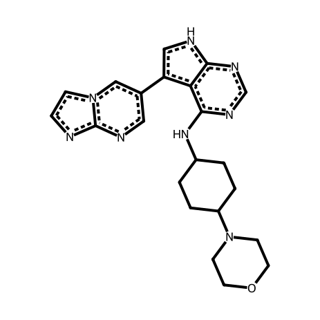 c1nc(NC2CCC(N3CCOCC3)CC2)c2c(-c3cnc4nccn4c3)c[nH]c2n1